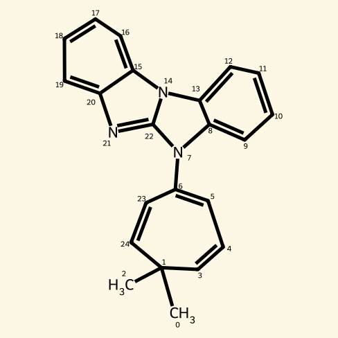 CC1(C)C=CC=C(n2c3ccccc3n3c4ccccc4nc23)C=C1